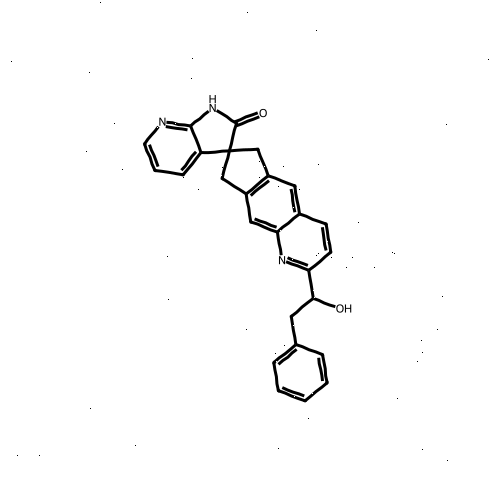 O=C1Nc2ncccc2C12Cc1cc3ccc(C(O)Cc4ccccc4)nc3cc1C2